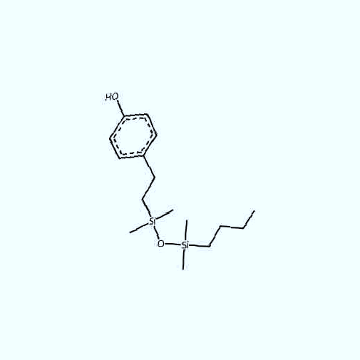 CCCC[Si](C)(C)O[Si](C)(C)CCc1ccc(O)cc1